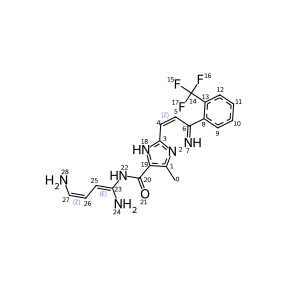 Cc1nc(/C=C\C(=N)c2ccccc2C(F)(F)F)[nH]c1C(=O)N/C(N)=C/C=C\N